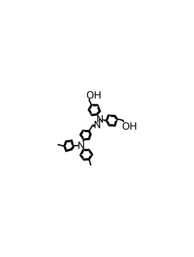 Cc1ccc(N(c2ccc(C)cc2)c2ccc(/C=N/N(c3ccc(CO)cc3)c3ccc(CO)cc3)cc2)cc1